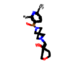 Cc1nc(C(F)(F)F)ccc1[S+]([O-])N1CC2(CN(CC3(O)CCOCC3)C2)C1